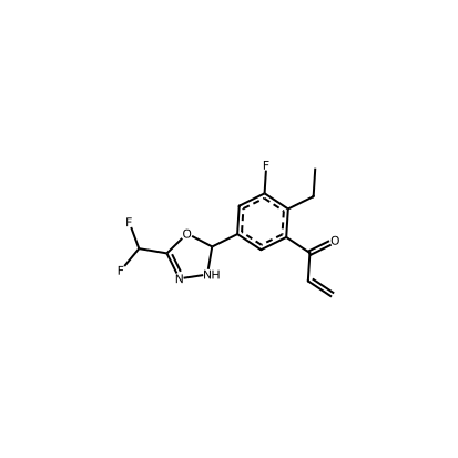 C=CC(=O)c1cc(C2NN=C(C(F)F)O2)cc(F)c1CC